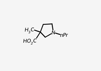 CCCN1CCC(C)(C(=O)O)C1